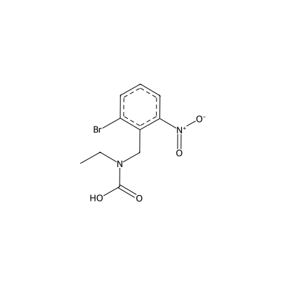 CCN(Cc1c(Br)cccc1[N+](=O)[O-])C(=O)O